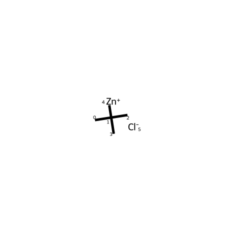 C[C](C)(C)[Zn+].[Cl-]